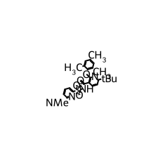 CNc1cccc(S(=O)(=O)NC(=O)c2ccc(C(C)(C)C)nc2Oc2c(C)cc(C)cc2C)n1